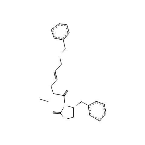 CC[C@H](CC=CCOCc1ccccc1)C(=O)N1C(=O)OC[C@@H]1Cc1ccccc1